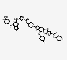 C[C@]1(O)CC[C@H](Nc2nc(Nc3cnn(C(=O)CC4CCN(c5cc6nc(Nc7cc(C(=O)NC8CCNCC8)n[nH]7)nc(N[C@H]7CC[C@](C)(O)CC7)c6s5)CC4)c3)nc3ccsc23)CC1